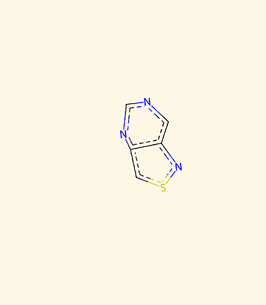 c1ncc2nscc2n1